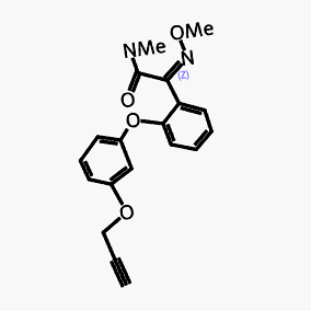 C#CCOc1cccc(Oc2ccccc2/C(=N/OC)C(=O)NC)c1